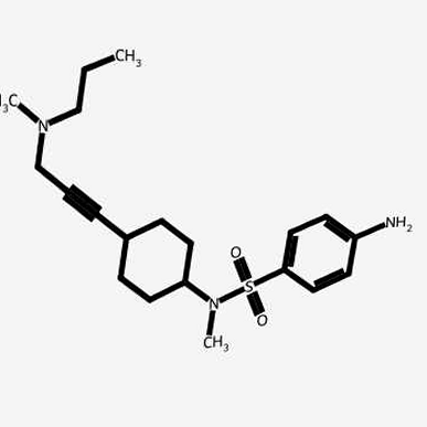 CCCN(C)CC#CC1CCC(N(C)S(=O)(=O)c2ccc(N)cc2)CC1